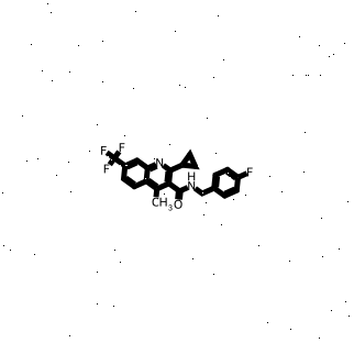 Cc1c(C(=O)NCc2ccc(F)cc2)c(C2CC2)nc2cc(C(F)(F)F)ccc12